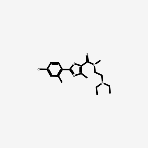 CCN(CC)CCN(C)C(=O)c1sc(-c2ccc(Cl)cc2C)nc1C